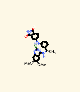 COc1cc2nc(Cl)nc(N[C@H](C)c3cccc(Nc4ccc5c(c4)C(=O)NC5=O)c3)c2cc1OC